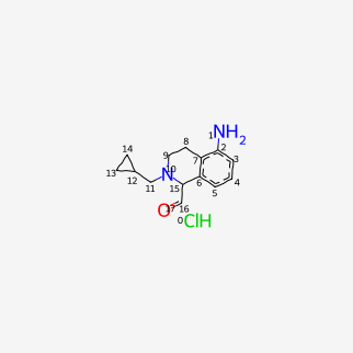 Cl.Nc1cccc2c1CCN(CC1CC1)C2C=O